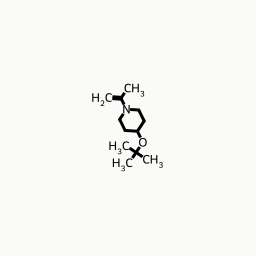 C=C(C)N1CCC(OC(C)(C)C)CC1